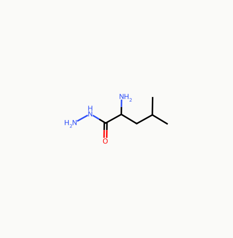 CC(C)CC(N)C(=O)NN